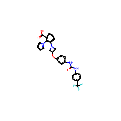 O=C(Nc1ccc(OC2CN(c3cccc(C(=O)O)c3-n3cccc3)C2)cc1)Nc1ccc(C(F)(F)F)cc1